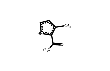 Cc1cc[nH]c1C(=O)C(Cl)(Cl)Cl